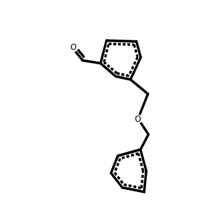 O=Cc1cccc(COCc2ccccc2)c1